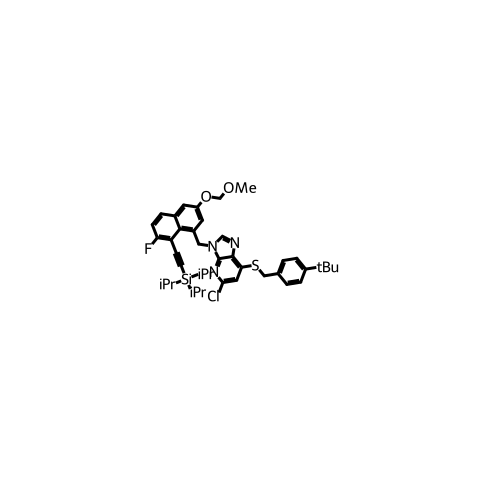 COCOc1cc(Cn2cnc3c(SCc4ccc(C(C)(C)C)cc4)cc(Cl)nc32)c2c(C#C[Si](C(C)C)(C(C)C)C(C)C)c(F)ccc2c1